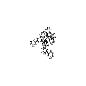 C\C=C/C=C1\C(=C2/C(c3nc(-c4cccc(-c5ccccc5)c4)nc(-c4cccc(-c5ccccc5)c4)n3)=CC=CC2C)C2(c3ccccc31)c1ccccc1-c1ccccc12